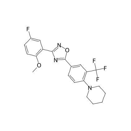 COc1ccc(F)cc1-c1noc(-c2ccc(N3CCCCC3)c(C(F)(F)F)c2)n1